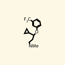 CNCCC(Oc1cccc(C(F)(F)F)c1)C1CC1